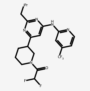 CC(C)Cc1nc(Nc2cc(C(F)(F)F)ccn2)cc(C2CCCN(C(=O)C(F)F)C2)n1